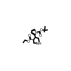 CCOC(=O)[C@@H]1CNCCC1c1cccn1C(=O)OC(C)(C)C